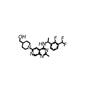 Cc1nc(NC(C)c2cccc(C(F)F)c2F)c2cc(N3CCC(CO)CC3)ncc2n1